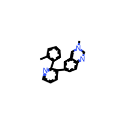 Cc1ccccc1-c1ncccc1-c1ccc2c(c1)=CN(C)CN=2